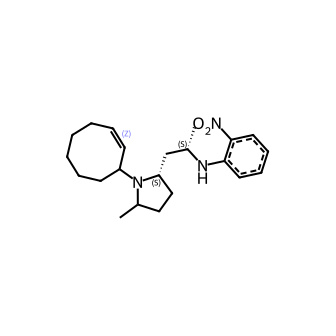 CC1CC[C@@H](C[C@H](C)Nc2ccccc2[N+](=O)[O-])N1C1/C=C\CCCCC1